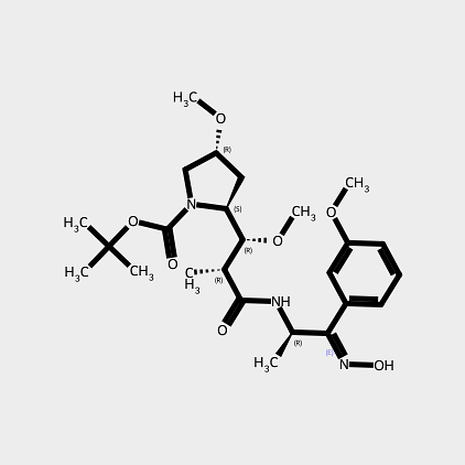 COc1cccc(/C(=N\O)[C@@H](C)NC(=O)[C@H](C)[C@@H](OC)[C@@H]2C[C@@H](OC)CN2C(=O)OC(C)(C)C)c1